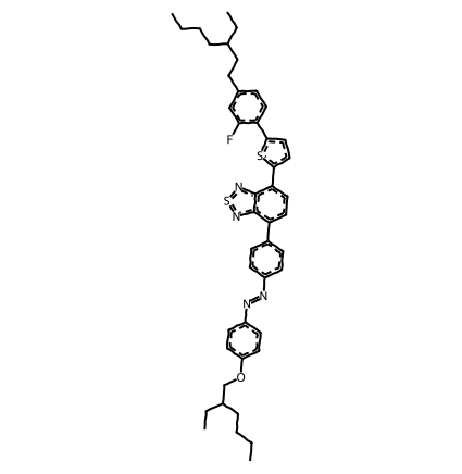 CCCCC(CC)CCc1ccc(-c2ccc(-c3ccc(-c4ccc(N=Nc5ccc(OCC(CC)CCCC)cc5)cc4)c4nsnc34)s2)c(F)c1